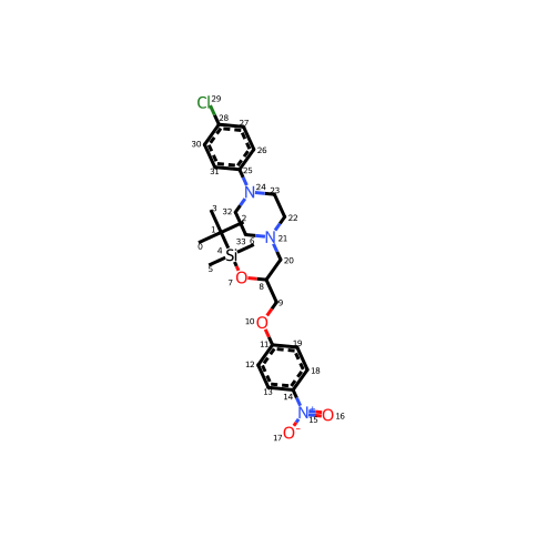 CC(C)(C)[Si](C)(C)OC(COc1ccc([N+](=O)[O-])cc1)CN1CCN(c2ccc(Cl)cc2)CC1